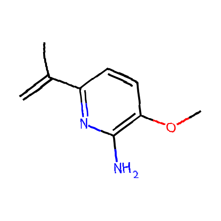 C=C(C)c1ccc(OC)c(N)n1